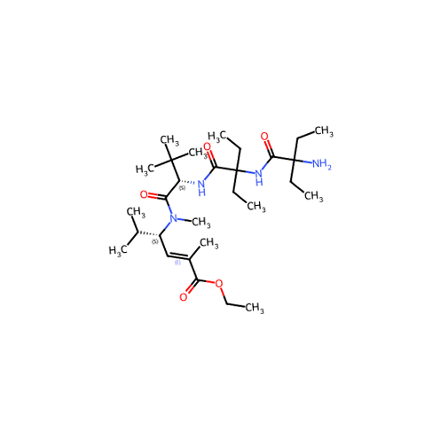 CCOC(=O)/C(C)=C/[C@H](C(C)C)N(C)C(=O)[C@@H](NC(=O)C(CC)(CC)NC(=O)C(N)(CC)CC)C(C)(C)C